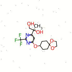 C[C@@](O)(CO)c1cc(OC2CCC3(CC2)OCCO3)nc(C(F)(F)F)n1